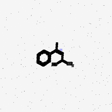 C/C(=C/C(O)C(Cl)(Cl)Cl)c1ccccc1